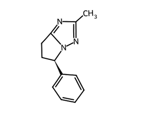 Cc1nc2n(n1)[C@@H](c1ccccc1)CC2